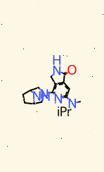 CC(C)N(C)c1cc2c(c(N3CC4CCC(C3)N4)n1)CNC2=O